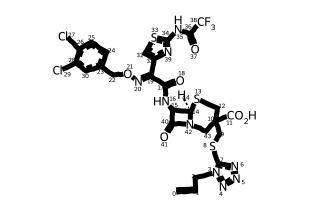 C=CCn1nnnc1SCC1(C(=O)O)CS[C@@H]2C(NC(=O)C(=NOCc3ccc(Cl)c(Cl)c3)c3csc(NC(=O)C(F)(F)F)n3)C(=O)N2C1